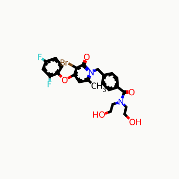 Cc1cc(Oc2ccc(F)cc2F)c(Br)c(=O)n1Cc1ccc(C(=O)N(CCO)CCO)cc1